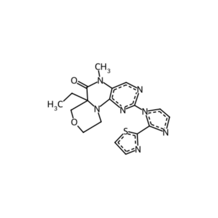 CCC12COCCN1c1nc(-n3ccnc3-c3nccs3)ncc1N(C)C2=O